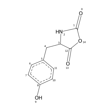 O=C1NC(Cc2ccc(O)cc2)C(=O)O1